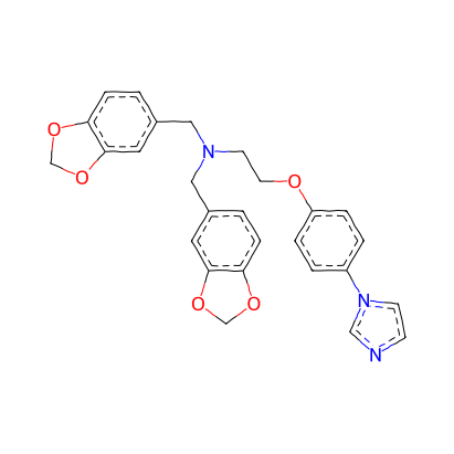 c1cn(-c2ccc(OCCN(Cc3ccc4c(c3)OCO4)Cc3ccc4c(c3)OCO4)cc2)cn1